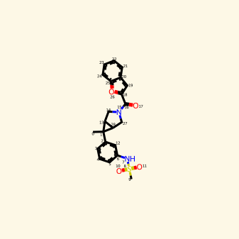 CC1(c2cccc(NS(C)(=O)=O)c2)C2CN(C(=O)c3cc4ccccc4o3)CC21